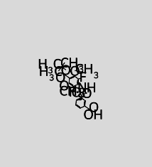 COc1c(F)c(NS(=O)(=O)c2cccc(C(=O)O)c2)c(F)c(OC)c1C(=O)OC(C)(C)C